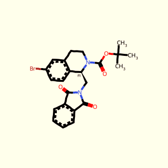 CC(C)(C)OC(=O)N1CCc2cc(Br)ccc2[C@@H]1CN1C(=O)c2ccccc2C1=O